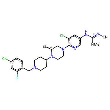 CC[C@H]1CN(c2ncc(N/C(=N/C#N)NC)cc2Cl)CCN1C1CCN(Cc2ccc(Cl)cc2F)CC1